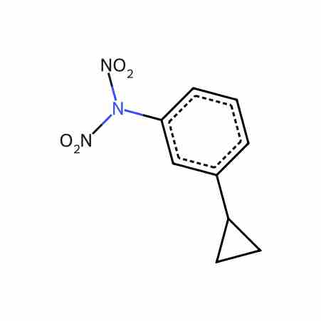 O=[N+]([O-])N(c1cccc(C2CC2)c1)[N+](=O)[O-]